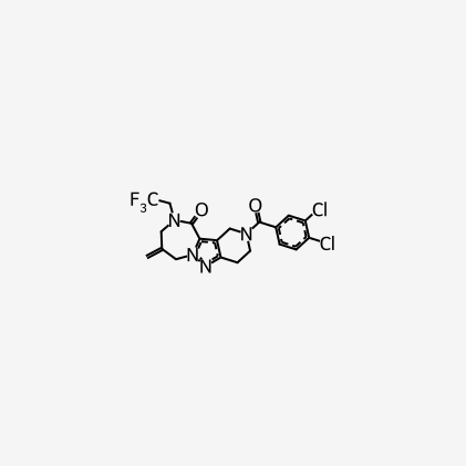 C=C1CN(CC(F)(F)F)C(=O)c2c3c(nn2C1)CCN(C(=O)c1ccc(Cl)c(Cl)c1)C3